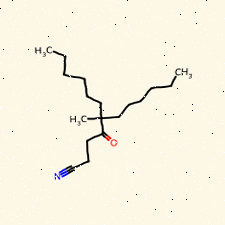 CCCCCCC(C)(CCCCCC)C(=O)CCC#N